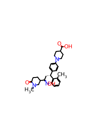 Cc1ccccc1[C@H](C/C(=N\O)C1CCC(=O)N(C)C1)c1ccc(N2CCC(C(=O)O)CC2)cc1